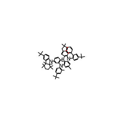 Cc1cc2c3c(c1)N(c1ccc(C(C)(C)C)cc1-c1ccccc1)c1cc4c(cc1B3c1ccc(N3c5ccc(C(C)(C)C)cc5C5(C)C(C)(C)CCC(C)(C)C35C)cc1N2c1ccc(C(C)(C)C)cc1C)CC(C)(C)C4